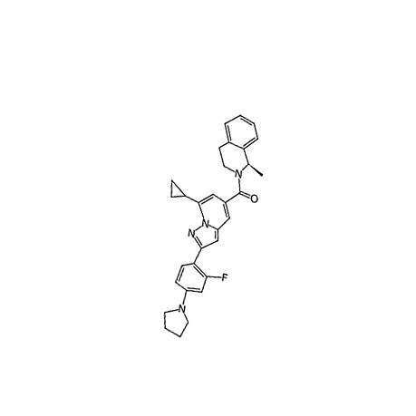 C[C@@H]1c2ccccc2CCN1C(=O)c1cc(C2CC2)n2nc(-c3ccc(N4CCCC4)cc3F)cc2c1